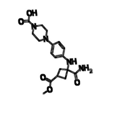 COC(=O)C1CC(Nc2ccc(N3CCN(C(=O)O)CC3)cc2)(C(N)=O)C1